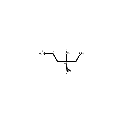 CCC[C@@](CO)(CCN)C(C)=O